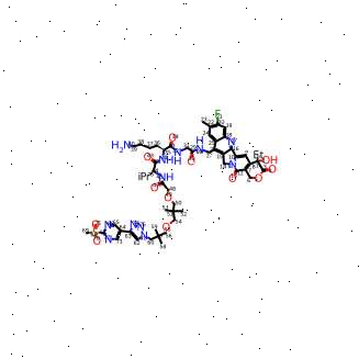 CC[C@@]1(O)C(=O)OCc2c1cc1n(c2=O)Cc2c-1nc1cc(F)c(C)cc1c2CNC(=O)CNC(=O)[C@H](CCCCN)NC(=O)[C@@H](NC(=O)COCC(C)(C)COCC(C)(C)Cn1cc(-c2cnc(S(C)(=O)=O)nc2)nn1)C(C)C